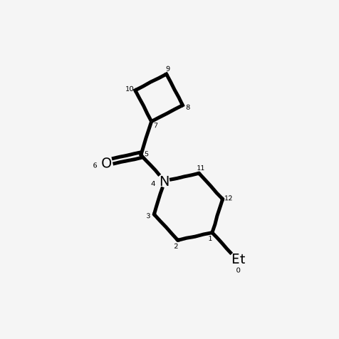 CCC1CCN(C(=O)C2CCC2)CC1